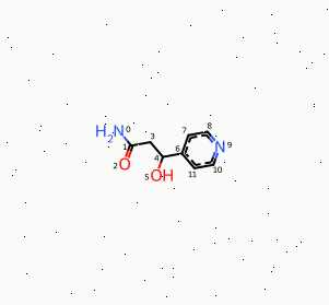 NC(=O)CC(O)c1ccncc1